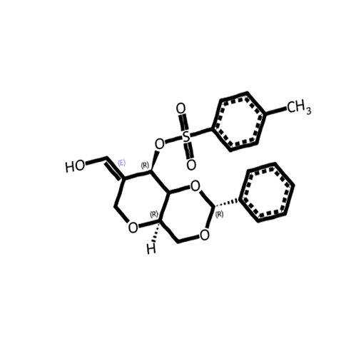 Cc1ccc(S(=O)(=O)O[C@@H]2/C(=C/O)CO[C@@H]3CO[C@@H](c4ccccc4)OC23)cc1